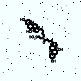 C[C@H](CCCN(CCS(=O)(=O)O)C(=O)CC[C@@H](C)[C@H]1CC[C@@H]2C3[C@@H](CC[C@@]21C)[C@@]1(C)CC[C@H](O)CC1C[C@@H]3O)[C@H]1CC[C@@H]2C3[C@@H](CC[C@@]21C)[C@@]1(C)CC[C@H](O)CC1C[C@@H]3O